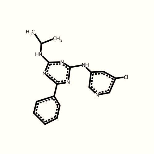 CC(C)Nc1nc(Nc2cncc(Cl)c2)nc(-c2ccccc2)n1